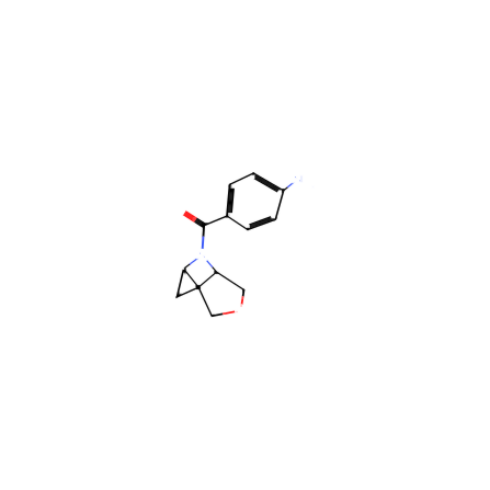 Nc1ccc(C(=O)N2C3COCC34CC24)cc1